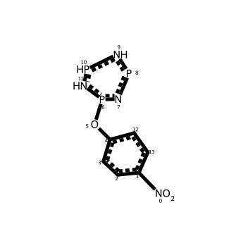 O=[N+]([O-])c1ccc(Op2np[nH][pH][nH]2)cc1